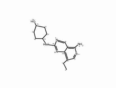 CCc1cnc(N)c2cnc(NC3CCC(O)CC3)nc12